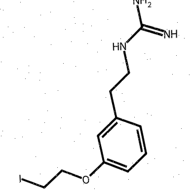 N=C(N)NCCc1cccc(OCCI)c1